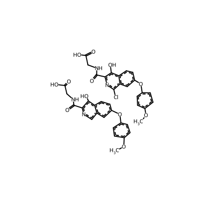 COc1ccc(Oc2ccc3c(O)c(C(=O)NCC(=O)O)nc(Cl)c3c2)cc1.COc1ccc(Oc2ccc3c(O)c(C(=O)NCC(=O)O)ncc3c2)cc1